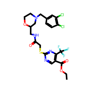 CCOC(=O)c1cnc(SCC(=O)NCC2CN(Cc3ccc(Cl)c(Cl)c3)CCO2)nc1C(F)(F)F